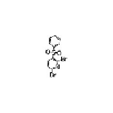 O=S(=O)(c1ccccc1)c1ccc(Br)nc1Br